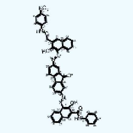 O=C1c2cc(N=Nc3c(O)c(CONc4ccc([N+](=O)[O-])cc4)cc4ccccc34)ccc2-c2ccc(N=Nc3c(O)c(C(=O)Nc4ccccc4)cc4ccccc34)cc21